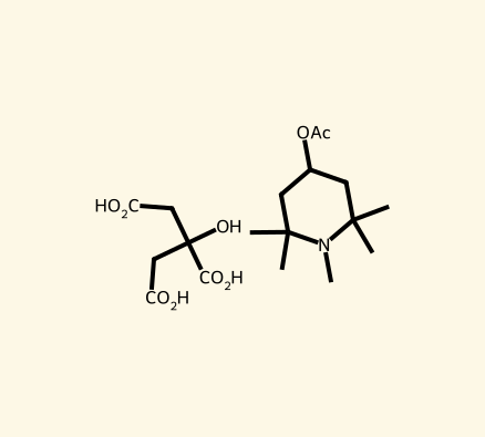 CC(=O)OC1CC(C)(C)N(C)C(C)(C)C1.O=C(O)CC(O)(CC(=O)O)C(=O)O